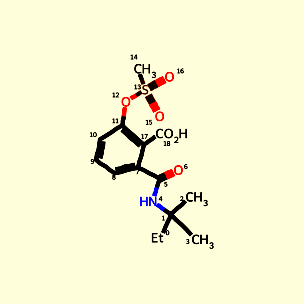 CCC(C)(C)NC(=O)c1cccc(OS(C)(=O)=O)c1C(=O)O